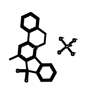 Cc1cc2[n+](c3c1S(=O)(=O)c1ccccc1-3)CCc1ccccc1-2.[O-][Cl+3]([O-])([O-])[O-]